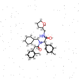 Cc1ccc(C(C(=O)NCC2CCCO2)N(CC2CCCCC2)C(=O)Cc2ccccc2C)cc1